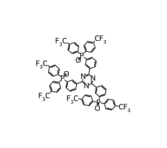 O=P(c1ccc(C(F)(F)F)cc1)(c1ccc(C(F)(F)F)cc1)c1cccc(-c2nc(-c3cccc(P(=O)(c4ccc(C(F)(F)F)cc4)c4ccc(C(F)(F)F)cc4)c3)nc(-c3cccc(P(=O)(c4ccc(C(F)(F)F)cc4)c4ccc(C(F)(F)F)cc4)c3)n2)c1